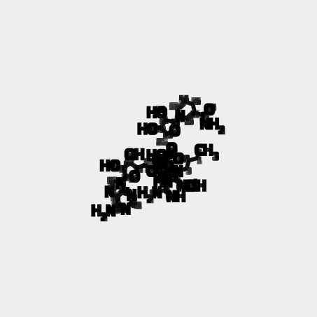 CCCCNC(=N)NC(=N)N.Cl.NC(=O)C1=CN([C@@H]2O[C@H](COP(=O)(O)OP(=O)(O)OC[C@H]3O[C@@H](n4cnc5c(N)ncnc54)[C@H](O)[C@@H]3O)[C@@H](O)[C@H]2O)C=CC1